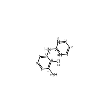 Sc1cccc(Nc2ncccn2)c1Cl